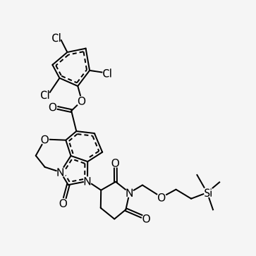 C[Si](C)(C)CCOCN1C(=O)CCC(n2c(=O)n3c4c(c(C(=O)Oc5c(Cl)cc(Cl)cc5Cl)ccc42)OCC3)C1=O